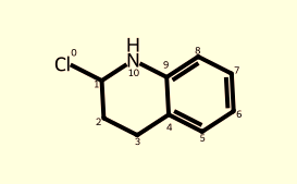 ClC1CCc2ccccc2N1